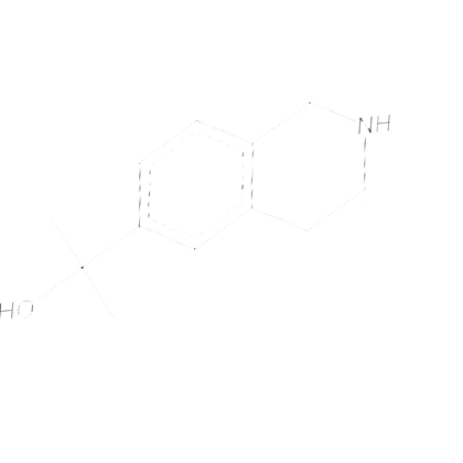 C[C@@H]1Cc2cc(C(C)(C)O)ccc2CN1